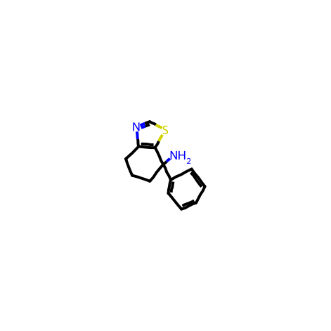 NC1(c2ccccc2)CCCc2ncsc21